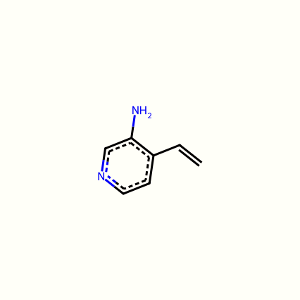 C=Cc1ccncc1N